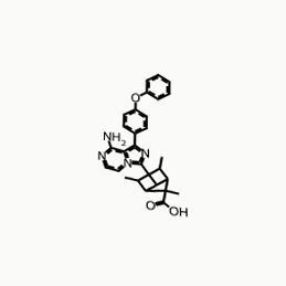 CC1C2C3C(C(C)C13c1nc(-c3ccc(Oc4ccccc4)cc3)c3c(N)nccn13)C2(C)C(=O)O